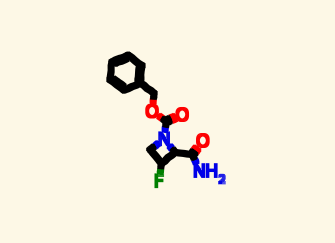 NC(=O)C1C(F)CN1C(=O)OCc1ccccc1